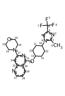 Cc1nc(C(F)(F)F)cn1C1CCC(Oc2nc(N3CCOCC3)cc3ncccc23)CC1